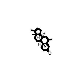 CC1C[C@@H]2[C@H](CC[C@]3(C)C(I)=CC[C@@H]23)[C@@]2(C)CCC(=O)C=C12